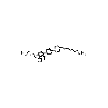 C=CCOc1ccc(-c2ccc(C3CCC(CCCCCCCC)CC3)cc2)c(F)c1Cl